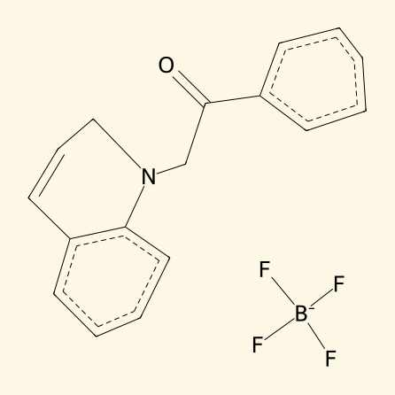 F[B-](F)(F)F.O=C(CN1CC=Cc2ccccc21)c1ccccc1